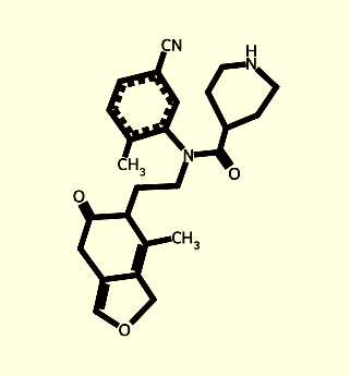 CC1=C2COC=C2CC(=O)C1CCN(C(=O)C1CCNCC1)c1cc(C#N)ccc1C